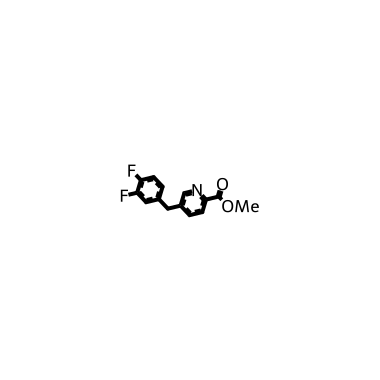 COC(=O)c1ccc(Cc2ccc(F)c(F)c2)cn1